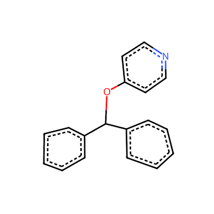 c1ccc(C(Oc2ccncc2)c2ccccc2)cc1